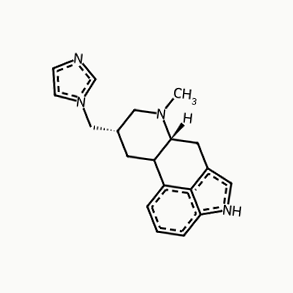 CN1C[C@@H](Cn2ccnc2)CC2c3cccc4[nH]cc(c34)C[C@H]21